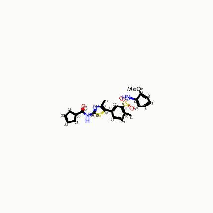 COc1ccccc1NS(=O)(=O)c1cc(-c2sc(NC(=O)C3CCCC3)nc2C)ccc1C